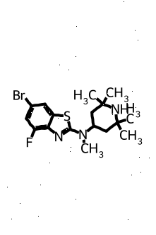 CN(c1nc2c(F)cc(Br)cc2s1)C1CC(C)(C)NC(C)(C)C1